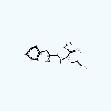 C=C(OC)[C@H](CCC)NC[C@@H](N)Cc1ccccc1